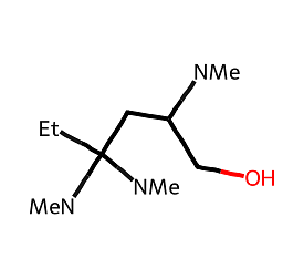 CCC(CC(CO)NC)(NC)NC